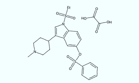 CCS(=O)(=O)n1cc(C2CCN(C)CC2)c2cc(OS(=O)(=O)c3ccccc3)ccc21.O=C(O)C(=O)O